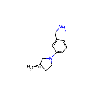 C[C@@H]1CCN(c2cccc(CN)c2)C1